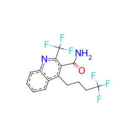 NC(=O)c1c(C(F)(F)F)nc2ccccc2c1CCCC(F)(F)F